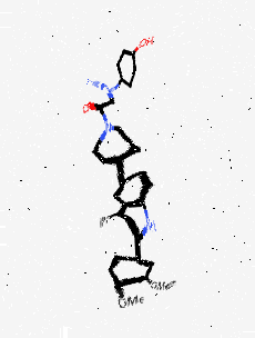 COc1ccc(-c2[nH]c3ccc(C4CCN(C(=O)CNC5CCC(O)CC5)CC4)cc3c2C(C)C)cc1OC